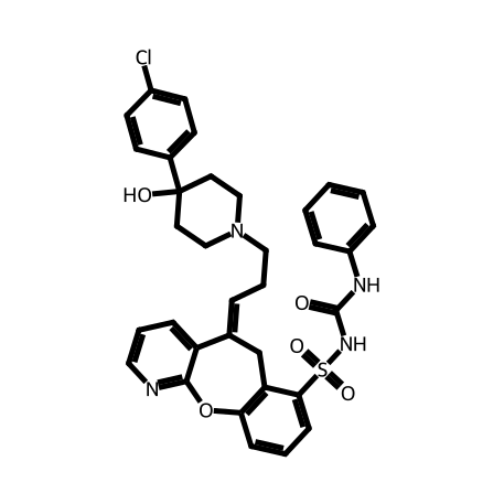 O=C(Nc1ccccc1)NS(=O)(=O)c1cccc2c1CC(=CCCN1CCC(O)(c3ccc(Cl)cc3)CC1)c1cccnc1O2